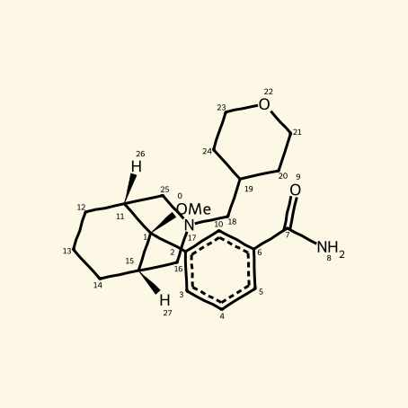 CO[C@]1(c2cccc(C(N)=O)c2)[C@@H]2CCC[C@H]1CN(CC1CCOCC1)C2